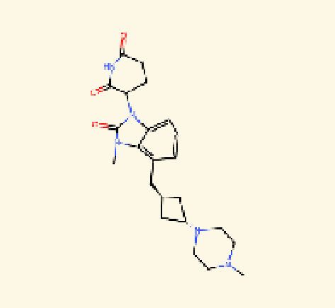 CN1CCN([C@H]2C[C@H](Cc3cccc4c3n(C)c(=O)n4C3CCC(=O)NC3=O)C2)CC1